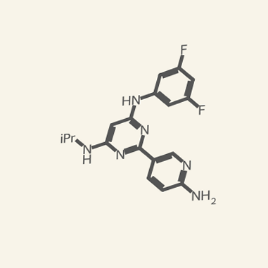 CC(C)Nc1cc(Nc2cc(F)cc(F)c2)nc(-c2ccc(N)nc2)n1